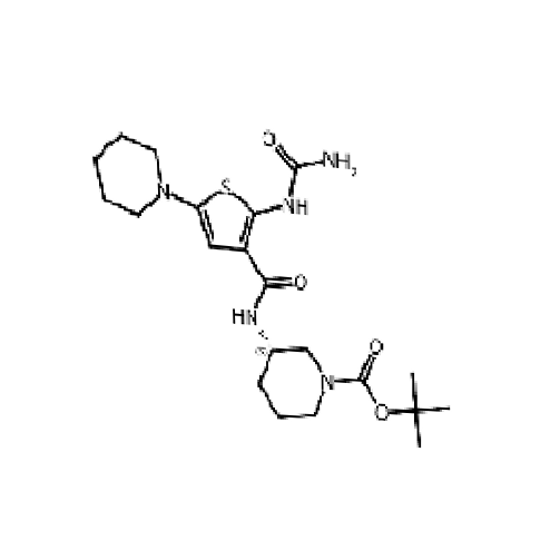 CC(C)(C)OC(=O)N1CCC[C@H](NC(=O)c2cc(N3CCCCC3)sc2NC(N)=O)C1